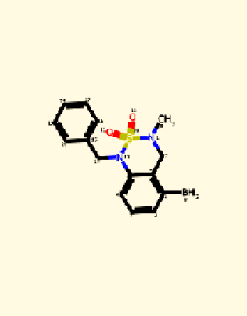 Bc1cccc2c1CN(C)S(=O)(=O)N2Cc1ccccc1